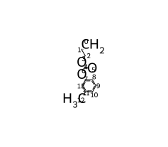 C=CCOC(=O)Oc1cccc(C)c1